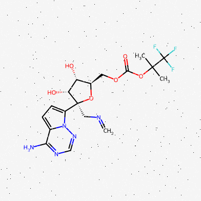 C=NC[C@@]1(c2ccc3c(N)ncnn23)O[C@H](COC(=O)OC(C)(C)C(F)(F)F)[C@@H](O)[C@H]1O